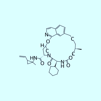 C=CC1CC1(C)NC(=O)[C@@H]1C[C@@H]2CN1C(=O)[C@H](C1CCCCC1)NC(=O)OC[C@H](C)CCCc1ccc3ccnc(c3c1)O2